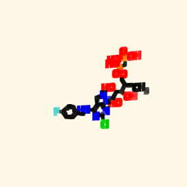 C/C=C(/COP(=O)(O)CP(=O)(O)O)[C@@H](O)[C@@H](O)[C@@H](O)n1ncc2c(NCc3ccc(F)cc3)nc(Cl)nc21